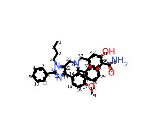 CCCCn1c(-c2ccccc2)nc(-c2ccc(OC)cc2)c1CN(Cc1ccccc1)Cc1ccc(C(N)=O)c(O)c1